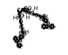 O=C(O)CN(CCN(CC(=O)O)CC(=O)NCCOCCOCCNS(=O)(=O)c1ccc(O[C@H]2c3ccccc3C[C@@H]2N2CCCCC2)cc1)CC(=O)NCCOCCOCCNS(=O)(=O)c1ccc(O[C@H]2c3ccccc3C[C@@H]2N2CCCCC2)cc1